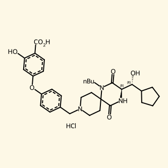 CCCCN1C(=O)[C@@H]([C@H](O)C2CCCC2)NC(=O)C12CCN(Cc1ccc(Oc3ccc(C(=O)O)c(O)c3)cc1)CC2.Cl